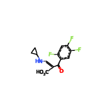 O=C(O)C(=CNC1CC1)C(=O)c1cc(F)c(F)cc1F